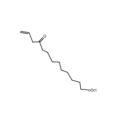 C=C[CH]C(=O)CCCCCCCCCCCCCCCCC